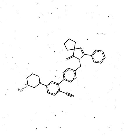 C[C@@H]1CCCN(c2ccc(C#N)c(-c3ccc(CN4C(=O)C5(CCCC5)N=C4c4ccccc4)cc3)c2)C1